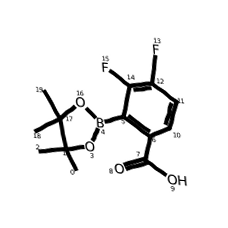 CC1(C)OB(c2c(C(=O)O)ccc(F)c2F)OC1(C)C